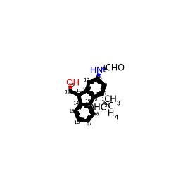 C.CC=O.O=CNc1ccc2c(c1)C(CO)c1ccccc1-2